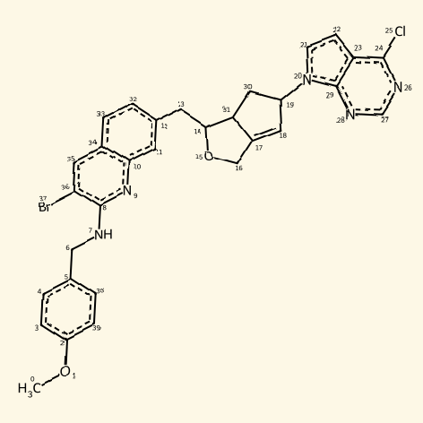 COc1ccc(CNc2nc3cc(CC4OCC5=CC(n6ccc7c(Cl)ncnc76)CC54)ccc3cc2Br)cc1